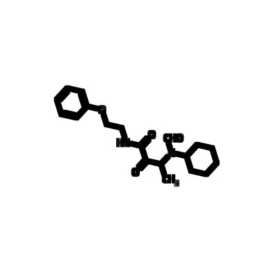 CC(C(=O)C(=O)NCCOc1ccccc1)N(C=O)C1CCCCC1